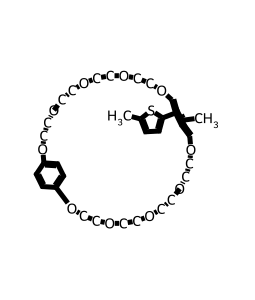 Cc1ccc(-c2cc3c(C)cc2OCCOCCOCCOCCOc2ccc(cc2)OCCOCCOCCOCCO3)s1